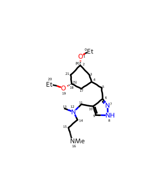 CCO[C@@H]1CC(Cc2n[nH]cc2CN(C)CCNC)C[C@H](OCC)C1